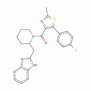 Cc1nc(C(=O)N2CCCCC2Cc2nc3ccccc3[nH]2)c(-c2ccc(F)cc2)s1